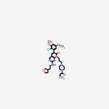 C=CC(=O)N1CCN(CCCn2c(=O)c(-c3cc(OC)cc(OC)c3Cl)cc3cnc(NCCC4CCOC4)nc32)CC1